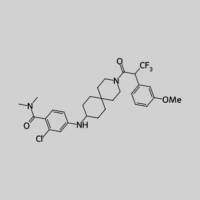 COc1cccc(C(C(=O)N2CCC3(CCC(Nc4ccc(C(=O)N(C)C)c(Cl)c4)CC3)CC2)C(F)(F)F)c1